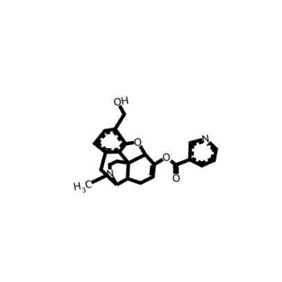 CN1CCC23c4c5ccc(CO)c4OC2C(OC(=O)c2cccnc2)=CCC3C1C5